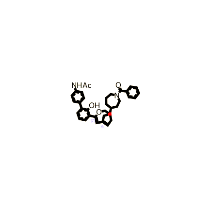 CC(=O)Nc1ccc(-c2cccc(/C3=C/C(CCC4CCCN(C(=O)c5ccccc5)CC4)=C/CCCO3)c2O)cc1